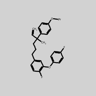 C=CC(C)(CCCc1ccc(F)c(Oc2ccc(F)cc2)c1)c1ccc(OC(C)C)cc1